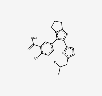 COC(=O)c1cc(-c2c(-c3ccn(CC(F)F)n3)nc3n2CCC3)ccc1N